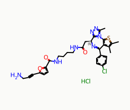 Cc1sc2c(c1C)C(c1ccc(Cl)cc1)=N[C@@H](CC(=O)NCCCCNC(=O)c1ccc(C#CCN)o1)c1nnc(C)n1-2.Cl